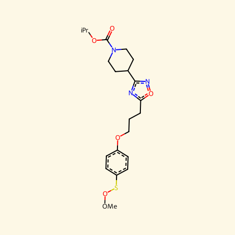 COOSc1ccc(OCCCc2nc(C3CCN(C(=O)OC(C)C)CC3)no2)cc1